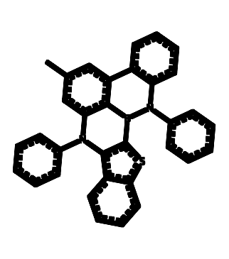 Cc1cc2c3c(c1)N(c1ccccc1)c1c(sc4ccccc14)B3N(c1ccccc1)c1ccccc1-2